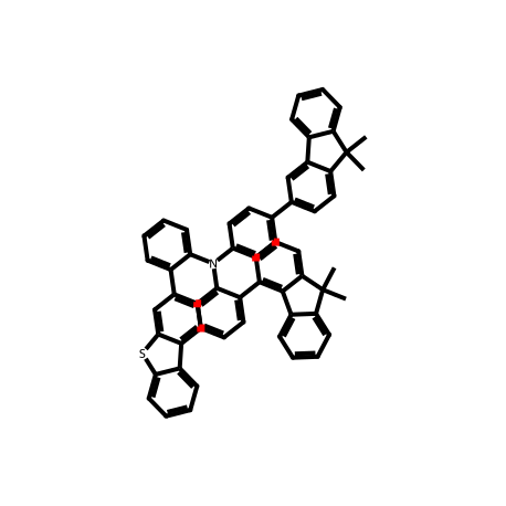 CC1(C)c2ccccc2-c2cc(-c3ccc(N(c4ccccc4-c4ccc5c(c4)sc4ccccc45)c4ccccc4-c4cccc5c4-c4ccccc4C5(C)C)cc3)ccc21